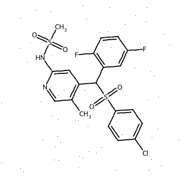 Cc1cnc(NS(C)(=O)=O)cc1C(c1cc(F)ccc1F)S(=O)(=O)c1ccc(Cl)cc1